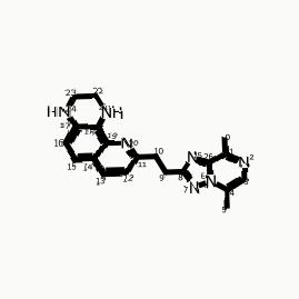 Cc1ncc(C)n2nc(CCc3ccc4ccc5c(c4n3)NCCN5)nc12